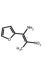 C/C(=C(/N)c1ccco1)[N+](=O)[O-]